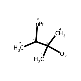 CCCC(C)C(C)(C)[O]